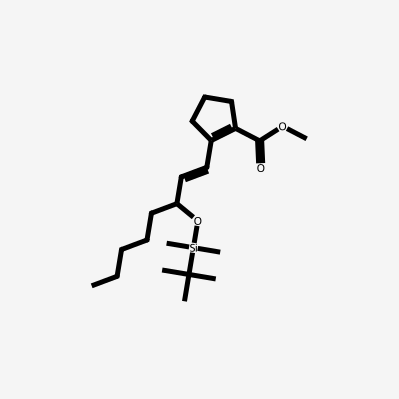 CCCCCC(/C=C/C1=C(C(=O)OC)CCC1)O[Si](C)(C)C(C)(C)C